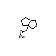 CC(C)(C)OCC12CCCN1CCC2